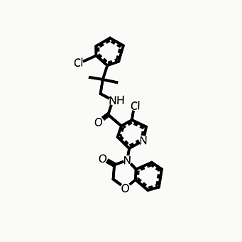 CC(C)(CNC(=O)c1cc(N2C(=O)COc3ccccc32)ncc1Cl)c1ccccc1Cl